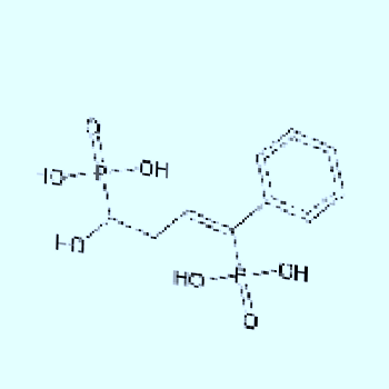 O=P(O)(O)C(=CCC(O)P(=O)(O)O)c1ccccc1